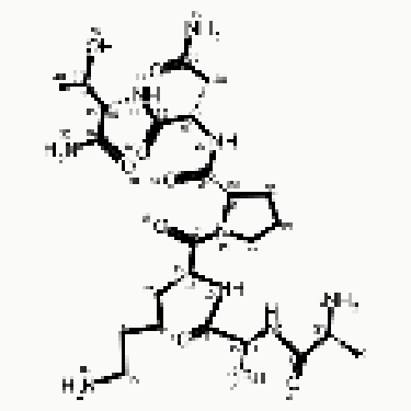 CC[C@H](C)[C@H](NC(=O)[C@H](C)N)C(=O)N[C@@H](CCCCN)C(=O)N1CCC[C@H]1C(=O)N[C@@H](CC(N)=O)C(=O)N[C@H](C(N)=O)[C@@H](C)O